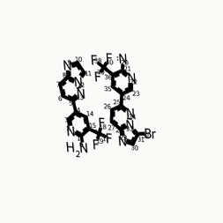 Nc1ncc(-c2ccc3nccn3n2)cc1C(F)(F)F.[N]c1ncc(-c2ccc3ncc(Br)n3n2)cc1C(F)(F)F